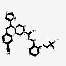 N#Cc1ccc(CC(c2cnc[nH]2)N2CCN(C(=O)OCc3ccccc3OCC(F)(F)F)CC2)cc1